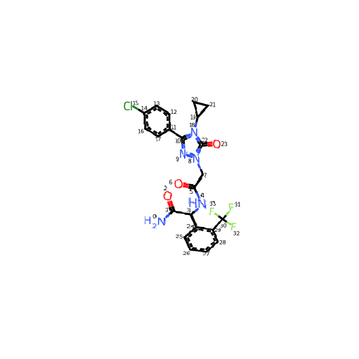 NC(=O)C(NC(=O)Cn1nc(-c2ccc(Cl)cc2)n(C2CC2)c1=O)c1ccccc1C(F)(F)F